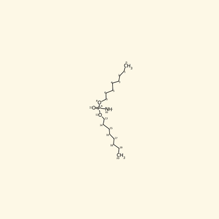 CCCCCCCCOP([NH])(=O)OCCCCCCCC